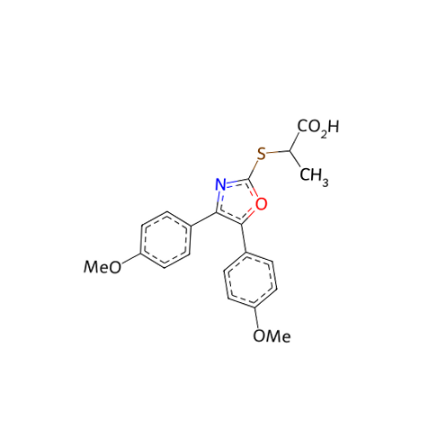 COc1ccc(-c2nc(SC(C)C(=O)O)oc2-c2ccc(OC)cc2)cc1